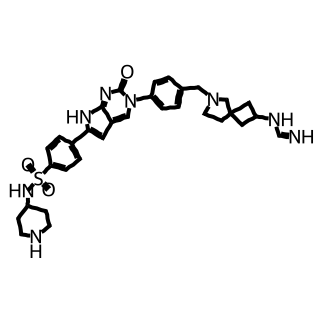 N=CNC1CC2(CCN(Cc3ccc(-n4cc5cc(-c6ccc(S(=O)(=O)NC7CCNCC7)cc6)[nH]c5nc4=O)cc3)C2)C1